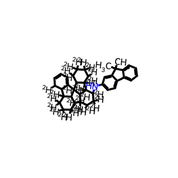 [2H]C1C=CC=C2C1([2H])C1([2H])C(C([2H])([2H])C([2H])([2H])C([2H])([2H])C1([2H])[2H])C21C2([2H])C([2H])([2H])C([2H])([2H])C([2H])([2H])C([2H])([2H])C2([2H])C2([2H])C([2H])(Nc3ccc4c(c3)C(C)(C)c3ccccc3-4)C([2H])([2H])C([2H])([2H])C([2H])([2H])C12[2H]